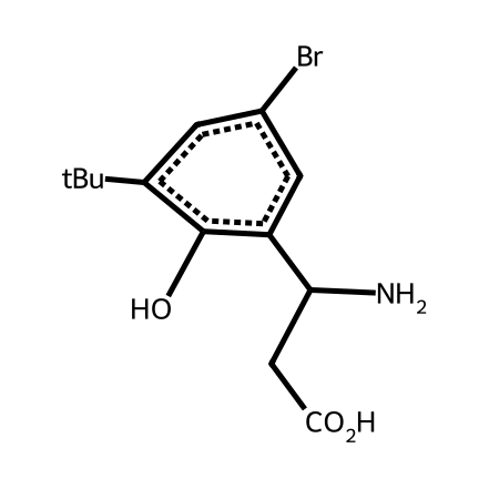 CC(C)(C)c1cc(Br)cc(C(N)CC(=O)O)c1O